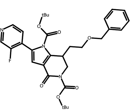 CC(C)(C)OC(=O)N1CC(CCOCc2ccccc2)c2c(cc(-c3ccncc3F)n2C(=O)OC(C)(C)C)C1=O